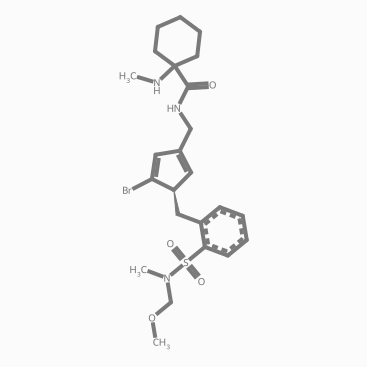 CNC1(C(=O)NCC2=C[C@@H](Cc3ccccc3S(=O)(=O)N(C)COC)C(Br)=C2)CCCCC1